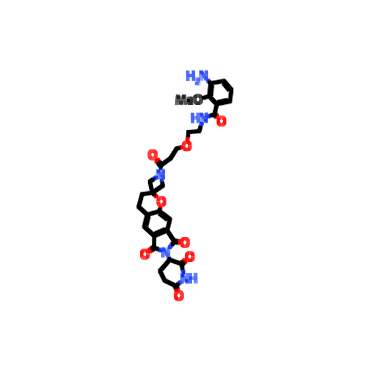 COc1c(N)cccc1C(=O)NCCOCCC(=O)N1CC2(CCc3cc4c(cc3O2)C(=O)N(C2CCC(=O)NC2=O)C4=O)C1